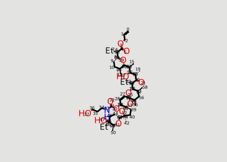 C=CCOC(=O)[C@H](CC)[C@H]1CC[C@H](C)[C@H]([C@@H](C)[C@H](O)[C@H](C)C(=O)[C@H](CC)[C@H]2O[C@]3(C=C[C@@H](OC(=O)NCCCO)[C@]4(CC[C@@](C)([C@H]5CC[C@](O)(CC)[C@H](C)O5)O4)O3)[C@H](C)C[C@@H]2C)O1